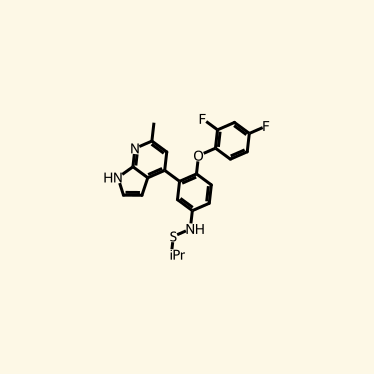 Cc1cc(-c2cc(NSC(C)C)ccc2Oc2ccc(F)cc2F)c2cc[nH]c2n1